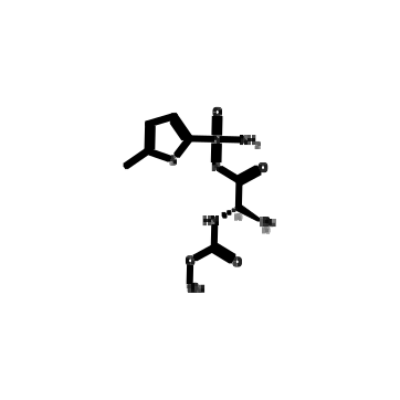 CC[C@H](C)[C@H](NC(=O)OC(C)(C)C)C(=O)N=S(N)(=O)c1ccc(C)s1